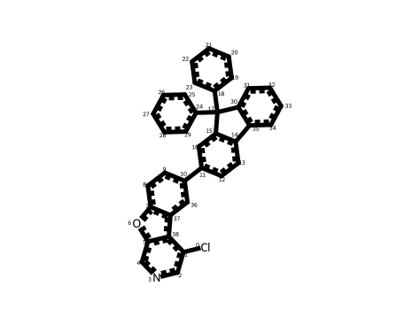 Clc1cncc2oc3ccc(-c4ccc5c(c4)C(c4ccccc4)(c4ccccc4)c4ccccc4-5)cc3c12